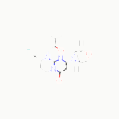 CC(C)C(=O)CN1c2nc(N3C[C@@H]4C[C@H]3CO4)cc(=O)n2CC[C@H]1C(F)(F)F